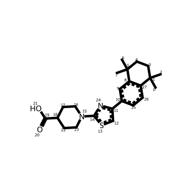 CC1(C)CCC(C)(C)c2cc(-c3csc(N4CCC(C(=O)O)CC4)n3)ccc21